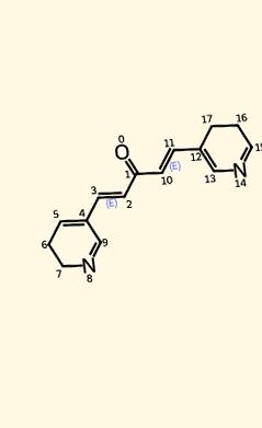 O=C(/C=C/C1=CCCN=C1)/C=C/C1=CN=CCC1